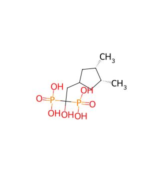 C[C@@H]1CC(CC(O)(P(=O)(O)O)P(=O)(O)O)C[C@@H]1C